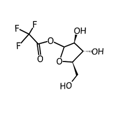 O=C(OC1O[C@H](CO)[C@@H](O)[C@@H]1O)C(F)(F)F